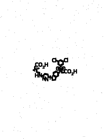 C[N+](C)(CCNc1ccc(N2CCc3cc(N(CC(=O)O)S(=O)(=O)c4cc(Cl)cc(Cl)c4)ccc32)nn1)CC(=O)O